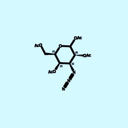 CC(=O)OC[C@H]1OC(OC(C)=O)[C@H](OC(C)=O)[C@@H](N=[N+]=[N-])[C@H]1OC(C)=O